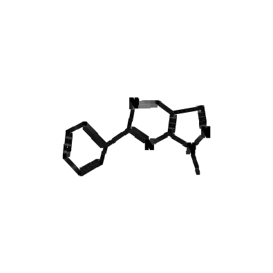 Cn1ncc2cnc(-c3ccccc3)nc21